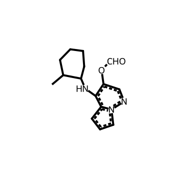 CC1CCCCC1Nc1c(OC=O)cnn2cccc12